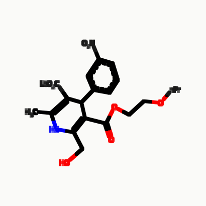 CCCOCCOC(=O)C1=C(CO)NC(C)=C(C(=O)OCC)C1c1cccc([N+](=O)[O-])c1